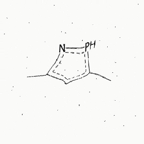 Cc1cc(C)[pH]n1